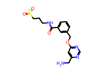 NCc1cc(OCc2cccc(C(=O)NCCC[SH](=O)=O)c2)ncn1